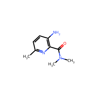 Cc1ccc(N)c(C(=O)N(C)C)n1